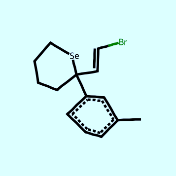 Cc1cccc(C2(C=CBr)CCCC[Se]2)c1